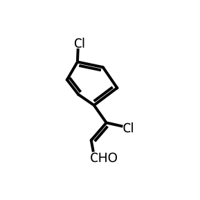 O=C/C=C(\Cl)c1ccc(Cl)cc1